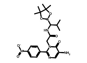 CC(C)C(NC(=O)Cn1c(-c2ccc([N+](=O)[O-])cc2)ncc(N)c1=O)B1OC(C)(C)C(C)(C)O1